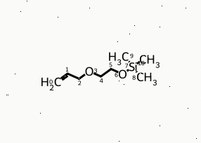 C=CCOCCO[Si](C)(C)C